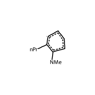 CCCc1[c]cccc1NC